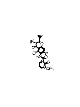 CN1CCCN(C(=O)Nc2c(Cl)ccc(C(=O)C(C#N)C(=O)C3CC3)c2Cl)C1=O